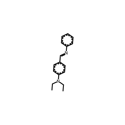 CCN(CC)c1ccc(C=Nc2ccccc2)cc1